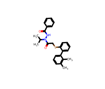 Cc1cccc(-c2ccccc2SCC(=O)N(NC(=O)c2ccccc2)C(C)C)c1C